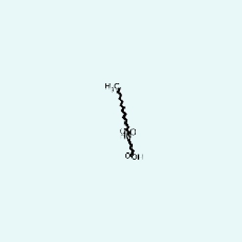 CCCCCCCCCCCCCCC(=O)C(=O)NCCCCCC(=O)O